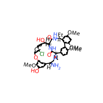 CC[C@H]1NC(=O)[C@H]2NC(=O)[C@@H](c3ccc(OC)c(c3)-c3c(OC)cc(OC)cc31)N(C)C[C@H](N)c1cc(O)c(OC)c(c1)Oc1ccc(cc1Cl)[C@H]2O